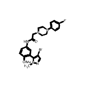 COc1ccc(NC(=O)CN2CCN(c3ccc(F)cc3)CC2)cc1-c1c(Br)cnn1C